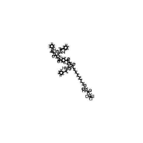 O=C(CNC(=O)OCC(Cl)(Cl)Cl)OCCCCCCCCCCCCNC(=O)[C@@H]1CN(C(=O)c2ccc(C(=O)N3C[C@@H](C(=O)N[C@H]4C[C@@H]4c4ccccc4)[C@H](C(=O)N[C@H]4C[C@@H]4c4ccccc4)C3)cc2)C[C@H]1C(=O)N[C@H]1C[C@@H]1c1ccccc1